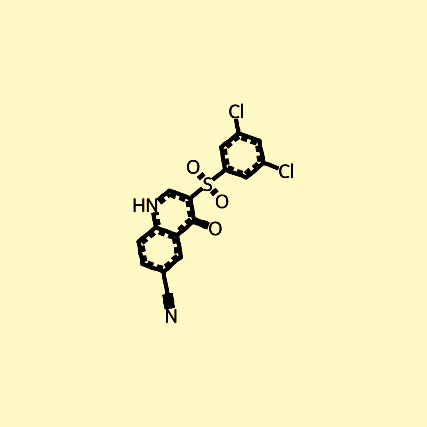 N#Cc1ccc2[nH]cc(S(=O)(=O)c3cc(Cl)cc(Cl)c3)c(=O)c2c1